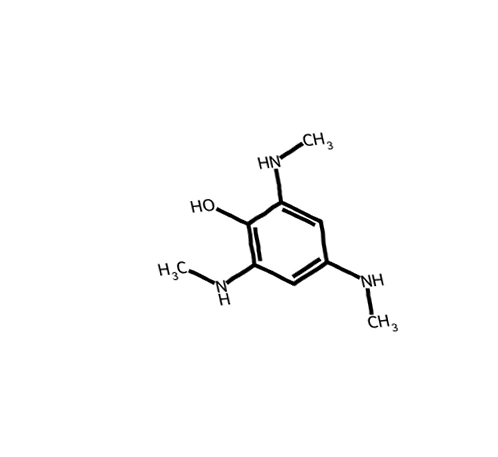 CNc1cc(NC)c(O)c(NC)c1